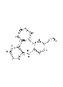 O=[N+]([O-])c1ccc2c(c1)-c1ccccc1-c1ccccc1N2